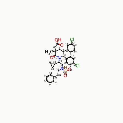 CC1(CC(=O)O)CC(c2cccc(Cl)c2)C(c2ccc(Cl)cc2)N(C(CN(CCc2ccccc2)[SH](=O)=O)C2CC2)C1=O